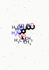 CS(=O)(=O)O.C[C@H](COc1cc(-c2cnc3c(c2)CCCO3)c2nc[nH]c2c1C(N)=O)N(C)C